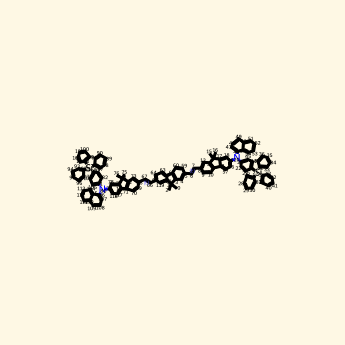 CC1(C)c2cc(/C=C/c3ccc4c(c3)C(C)(C)c3cc(N(c5ccc([Si](c6ccccc6)(c6ccccc6)c6ccccc6)cc5)c5cccc6ccccc56)ccc3-4)ccc2-c2ccc(/C=C/c3ccc4c(c3)C(C)(C)c3cc(N(c5ccc([Si](c6ccccc6)(c6ccccc6)c6ccccc6)cc5)c5cccc6ccccc56)ccc3-4)cc21